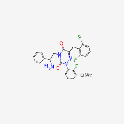 COc1cccc(-n2nc(Cc3c(F)cccc3F)c(=O)n(CC(N)c3ccccc3)c2=O)c1F